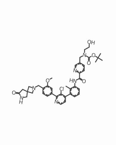 COc1cc(-c2nccc(-c3cccc(NC(=O)c4ccc(CN(CCO)C(=O)OC(C)(C)C)cn4)c3C)c2Cl)ccc1CN1CC2(CNC(=O)C2)C1